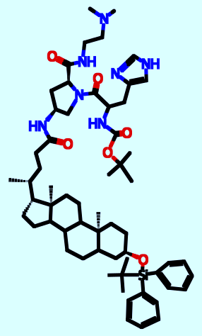 C[C@H](CCC(=O)N[C@H]1C[C@@H](C(=O)NCCN(C)C)N(C(=O)C(Cc2c[nH]cn2)NC(=O)OC(C)(C)C)C1)[C@H]1CCC2C3CCC4C[C@H](O[Si](c5ccccc5)(c5ccccc5)C(C)(C)C)CC[C@]4(C)C3CC[C@@]21C